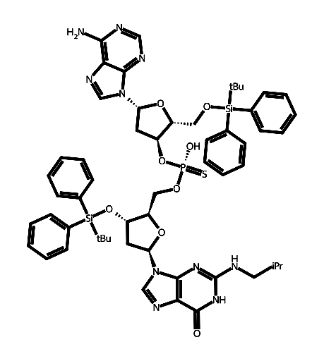 CC(C)CNc1nc2c(ncn2[C@H]2C[C@H](O[Si](c3ccccc3)(c3ccccc3)C(C)(C)C)[C@@H](CO[P@](O)(=S)O[C@H]3C[C@H](n4cnc5c(N)ncnc54)O[C@@H]3CO[Si](c3ccccc3)(c3ccccc3)C(C)(C)C)O2)c(=O)[nH]1